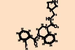 O=C(NC[C@H]1CCNC1)N1CCN(C(=O)c2ccccc2F)c2ccccc21